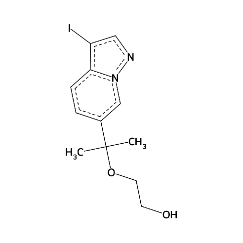 CC(C)(OCCO)c1ccc2c(I)cnn2c1